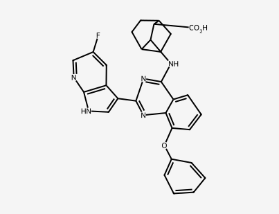 O=C(O)C1C2CCC(CC2)C1Nc1nc(-c2c[nH]c3ncc(F)cc23)nc2c(Oc3ccccc3)cccc12